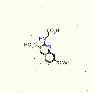 COc1ccc2cc(C(=O)O)c(NCC(=O)O)nc2c1